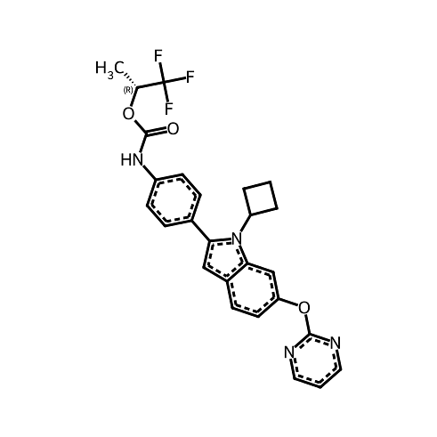 C[C@@H](OC(=O)Nc1ccc(-c2cc3ccc(Oc4ncccn4)cc3n2C2CCC2)cc1)C(F)(F)F